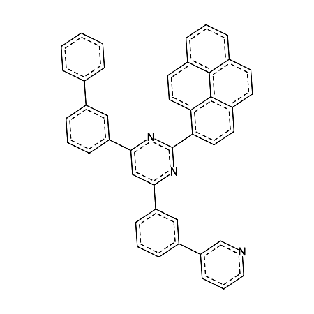 c1ccc(-c2cccc(-c3cc(-c4cccc(-c5cccnc5)c4)nc(-c4ccc5ccc6cccc7ccc4c5c67)n3)c2)cc1